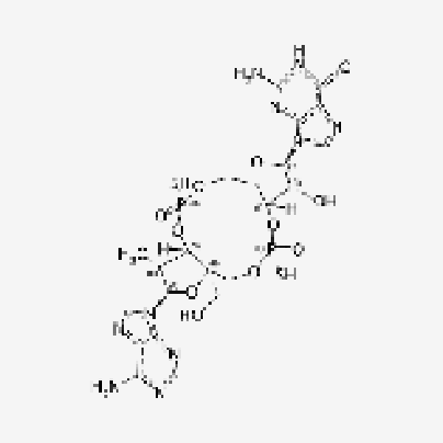 C[C@H]1[C@H](n2cnc3c(N)ncnc32)O[C@]2(CO)CO[P@@](=O)(S)O[C@@H]3C(CO[P@@](=O)(S)O[C@@H]12)O[C@@H](n1cnc2c(=O)[nH]c(N)nc21)[C@@H]3O